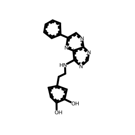 Oc1ccc(CCNc2ncnc3ncc(-c4ccccc4)nc23)cc1O